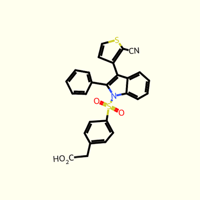 N#Cc1sccc1-c1c(-c2ccccc2)n(S(=O)(=O)c2ccc(CC(=O)O)cc2)c2ccccc12